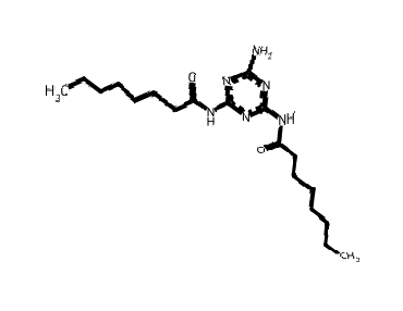 CCCCCCCC(=O)Nc1nc(N)nc(NC(=O)CCCCCCC)n1